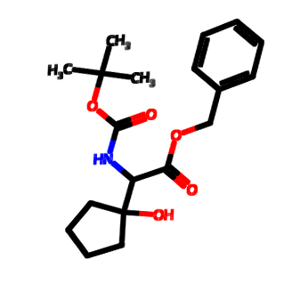 CC(C)(C)OC(=O)NC(C(=O)OCc1ccccc1)C1(O)CCCC1